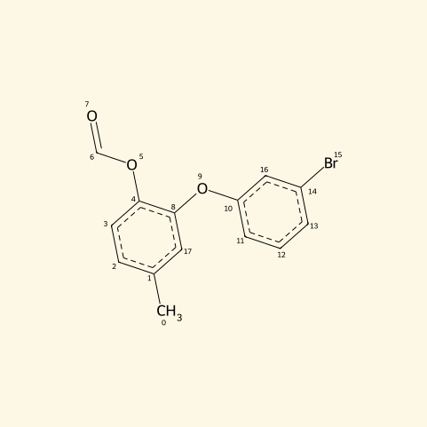 Cc1ccc(OC=O)c(Oc2cccc(Br)c2)c1